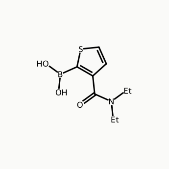 CCN(CC)C(=O)c1ccsc1B(O)O